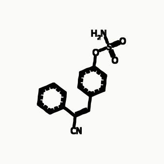 N#CC(=Cc1ccc(OS(N)(=O)=O)cc1)c1ccccc1